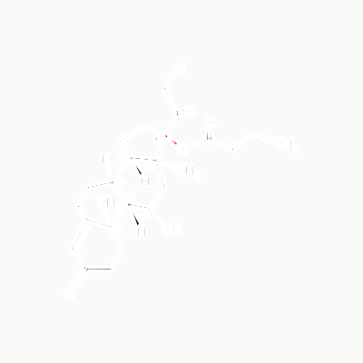 CCCC(=O)O[C@]1(C(=O)CCl)CC[C@H]2[C@@H]3CCC4=CC(=O)CC[C@]4(C)[C@H]3[C@@H](O)C[C@@]21C